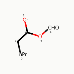 CCCCC([O])OC=O